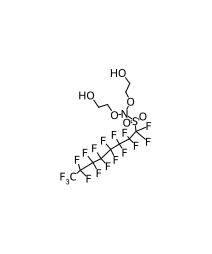 O=S(=O)(N(OCCO)OCCO)C(F)(F)C(F)(F)C(F)(F)C(F)(F)C(F)(F)C(F)(F)C(F)(F)C(F)(F)F